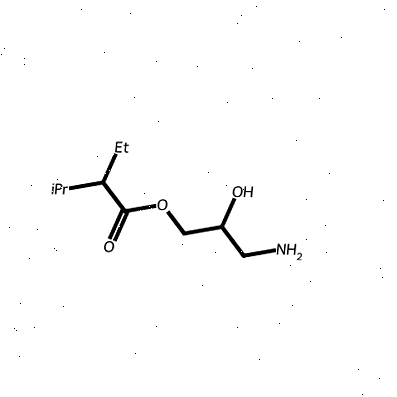 CCC(C(=O)OCC(O)CN)C(C)C